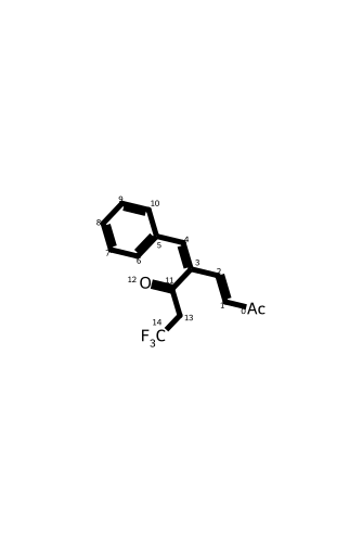 CC(=O)C=CC(=Cc1ccccc1)C(=O)CC(F)(F)F